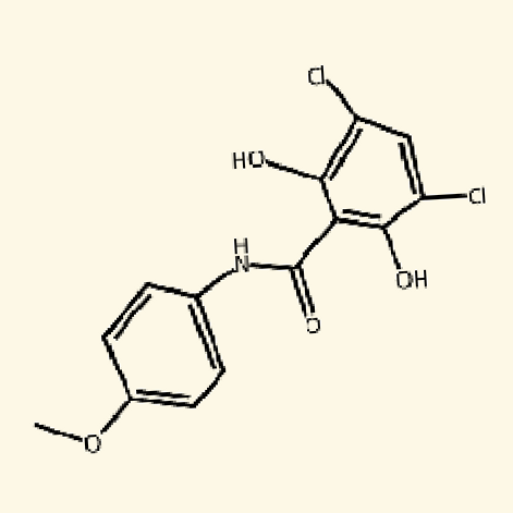 COc1ccc(NC(=O)c2c(O)c(Cl)cc(Cl)c2O)cc1